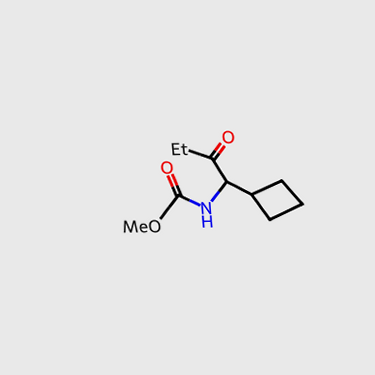 CCC(=O)C(NC(=O)OC)C1CCC1